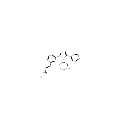 Cc1nc(-c2cccc(C=CC(=O)NO)c2)n([C@@H]2CCCN(C(C)C)C2)c1-c1ccccc1